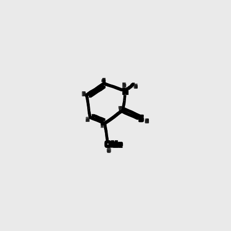 COc1cccn(C)c1=S